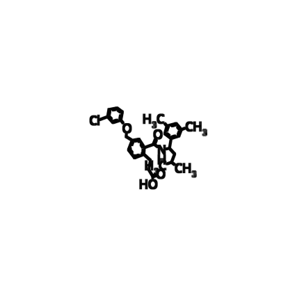 Cc1cc(C)cc(C(CC(C)C)NC(=O)c2cc(COc3cccc(Cl)c3)ccc2CCC(=O)O)c1